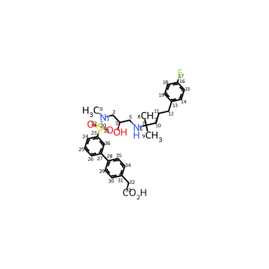 CN(CC(O)CNC(C)(C)CCCc1ccc(F)cc1)S(=O)(=O)c1cccc(-c2ccc(CC(=O)O)cc2)c1